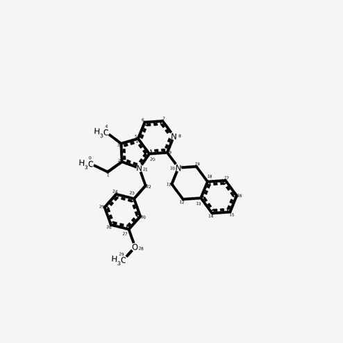 CCc1c(C)c2ccnc(N3CCc4ccccc4C3)c2n1Cc1cccc(OC)c1